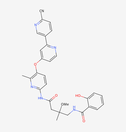 COC(C)(CNC(=O)c1ccccc1O)CC(=O)Nc1ccc(Oc2ccnc(-c3ccc(C#N)nc3)c2)c(C)n1